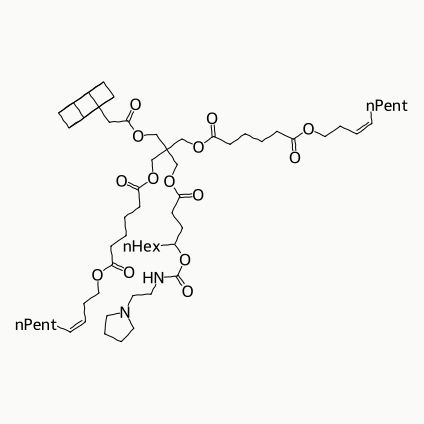 CCCCC/C=C\CCOC(=O)CCCCC(=O)OCC(COC(=O)CCCCC(=O)OCC/C=C\CCCCC)(COC(=O)CCC(CCCCCC)OC(=O)NCCN1CCCC1)COC(=O)CC12C3C4C5C3C1C5C42